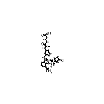 COc1cccc2c1c(NS(=O)(=O)c1ccc(Cl)s1)nn2Cc1cccc(CNC(=O)CCCC(=O)O)c1